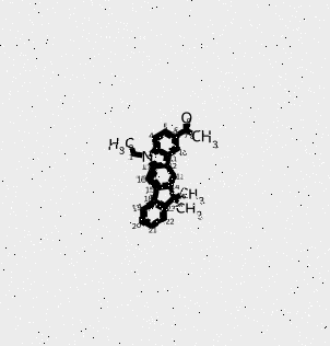 CCn1c2ccc(C(C)=O)cc2c2cc3c(cc21)-c1ccccc1C3(C)C